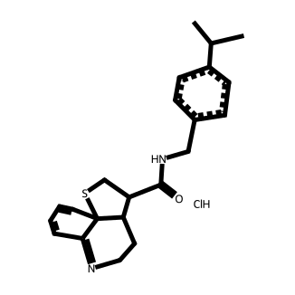 CC(C)c1ccc(CNC(=O)C2CSC34C=CC=CC3=NCCC24)cc1.Cl